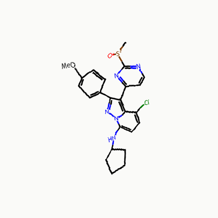 COc1ccc(-c2nn3c(NC4CCCC4)ccc(Cl)c3c2-c2ccnc([S+](C)[O-])n2)cc1